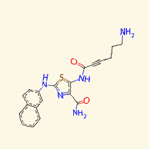 NCCCC#CC(=O)Nc1sc(Nc2ccc3ccccc3c2)nc1C(N)=O